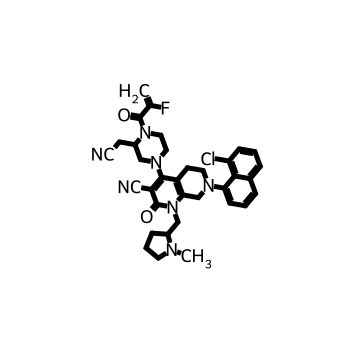 C=C(F)C(=O)N1CCN(c2c3c(n(CC4CCCN4C)c(=O)c2C#N)CN(c2cccc4cccc(Cl)c24)CC3)CC1CC#N